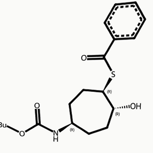 CC(C)(C)OC(=O)N[C@@H]1CC[C@@H](O)[C@H](SC(=O)c2ccccc2)CC1